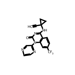 C#CC1(Nc2nc(=O)n(-c3cnccn3)c3cc(C(F)(F)F)ccc23)CC1